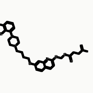 C=C(C)CCC(=O)OCOc1ccc2ccc(OCCCCN3CCN(c4cccc(Cl)c4Cl)CC3)cc2n1